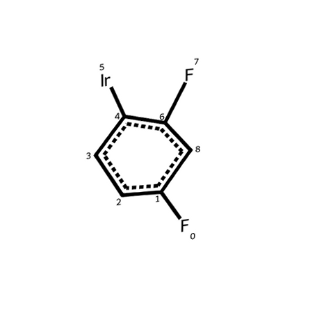 Fc1cc[c]([Ir])c(F)c1